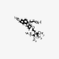 CC(C)N(CCOc1ccc(Cc2c(OCCCO)ccc3cc(O)ccc23)cc1)C(C)C